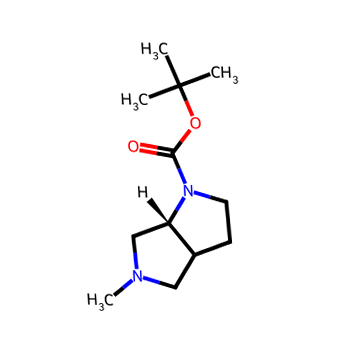 CN1CC2CCN(C(=O)OC(C)(C)C)[C@H]2C1